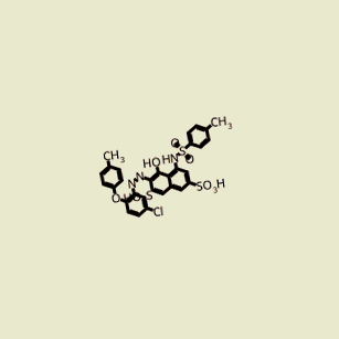 Cc1ccc(Oc2ccc(Cl)cc2/N=N\c2c(S(=O)(=O)O)cc3cc(S(=O)(=O)O)cc(NS(=O)(=O)c4ccc(C)cc4)c3c2O)cc1